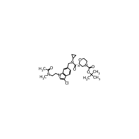 CC(=O)N(C)CCn1cc(Cl)c2ccc(CN(C(=O)[C@H]3CN(C(=O)OC(C)(C)C)CCO3)C3CC3)cc21